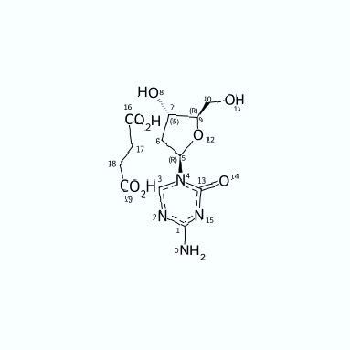 Nc1ncn([C@H]2C[C@H](O)[C@@H](CO)O2)c(=O)n1.O=C(O)CCC(=O)O